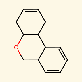 C1=CC2COC3CC=CCC3C2C=C1